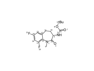 CN1C(=O)C(NC(=O)OC(C)(C)C)CCc2cc(F)cc(F)c21